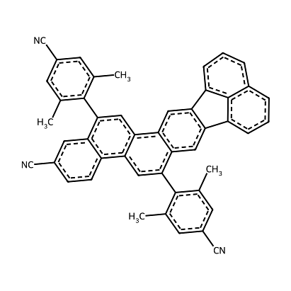 Cc1cc(C#N)cc(C)c1-c1cc2c3cc4c(cc3c(-c3c(C)cc(C#N)cc3C)cc2c2ccc(C#N)cc12)-c1cccc2cccc-4c12